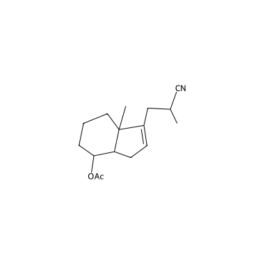 CC(=O)OC1CCCC2(C)C(CC(C)C#N)=CCC12